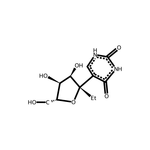 CC[C@@]1(c2c[nH]c(=O)[nH]c2=O)O[C@H](CO)[C@@H](O)[C@H]1O